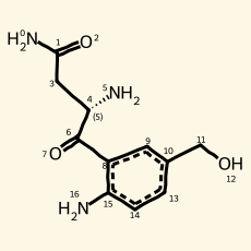 NC(=O)C[C@H](N)C(=O)c1cc(CO)ccc1N